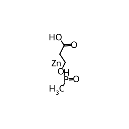 C[PH](=O)OCCC(=O)O.[Zn]